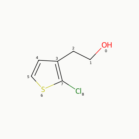 OCCc1ccsc1Cl